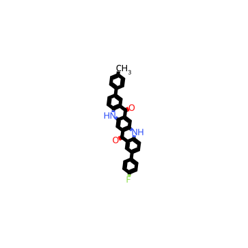 Cc1ccc(-c2ccc3[nH]c4cc5c(=O)c6cc(-c7ccc(F)cc7)ccc6[nH]c5cc4c(=O)c3c2)cc1